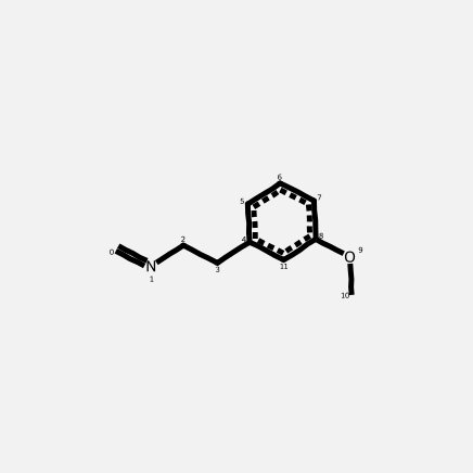 C=NCCc1cccc(OC)c1